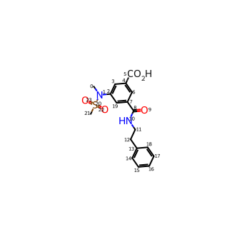 CN(c1cc(C(=O)O)cc(C(=O)NCCc2ccccc2)c1)S(C)(=O)=O